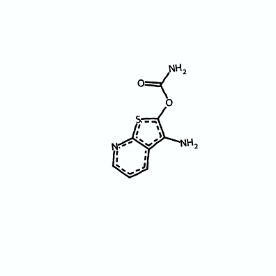 NC(=O)Oc1sc2ncccc2c1N